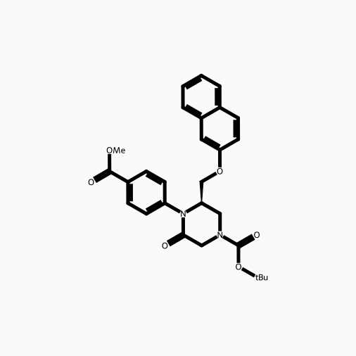 COC(=O)c1ccc(N2C(=O)CN(C(=O)OC(C)(C)C)C[C@@H]2COc2ccc3ccccc3c2)cc1